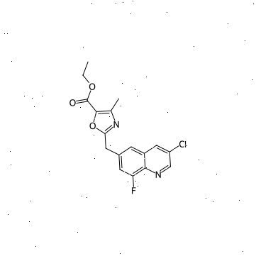 CCOC(=O)c1oc(Cc2cc(F)c3ncc(Cl)cc3c2)nc1C